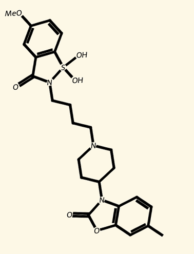 COc1ccc2c(c1)C(=O)N(CCCCN1CCC(n3c(=O)oc4cc(C)ccc43)CC1)S2(O)O